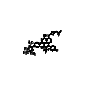 C[C@@H]1CN(C2=NC(O)N3c4c2cc(C(F)(F)F)c(-c2ccc(F)cc2)c4SC[C@@H]3CC2CN(CC(F)F)C2)[C@@H](C)CN1C(=O)OC(C)(C)C